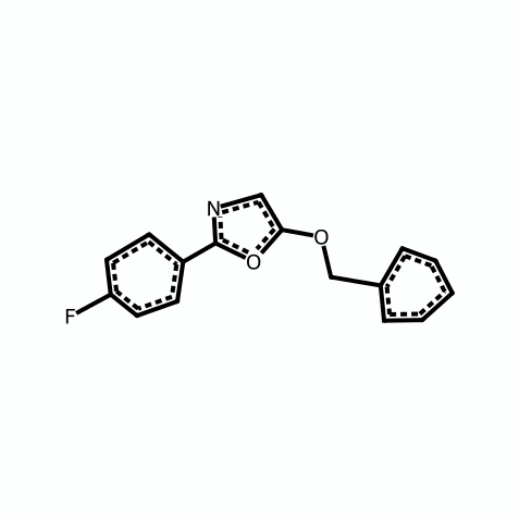 Fc1ccc(-c2ncc(OCc3ccccc3)o2)cc1